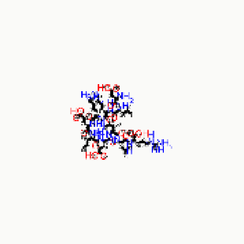 CC[C@H](C)[C@H](NC(=O)[C@H](CCC(=O)O)NC(=O)[C@@H](NC(=O)[C@H](CCC(=O)O)NC(=O)[C@H](CCCCN)NC(=O)[C@H](CCCCN)NC(=O)[C@H](CC(C)C)NC(=O)[C@@H](N)CC(=O)O)[C@@H](C)CC)C(=O)N[C@@H](CC(C)C)C(=O)N[C@@H](CCCNC(=N)N)C(=O)O